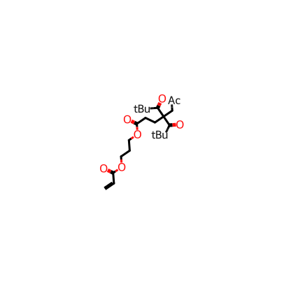 C=CC(=O)OCCCOC(=O)CCC(CC(C)=O)(C(=O)C(C)(C)C)C(=O)C(C)(C)C